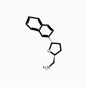 NC[C@@H]1CC[C@@H](c2ccc3ccccc3c2)O1